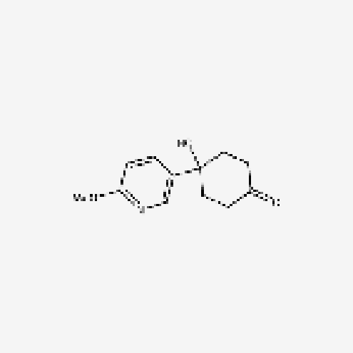 COc1ccc(C2(C#N)CCC(=O)CC2)cn1